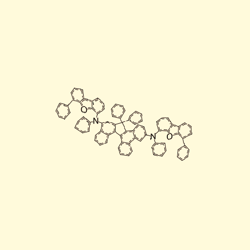 c1ccc(-c2cccc3c2oc2c(N(c4ccccc4)c4ccc5c6c(c7ccccc7c5c4)-c4c(cc(N(c5ccccc5)c5cccc7c5oc5c(-c8ccccc8)cccc57)c5ccccc45)C6(c4ccccc4)c4ccccc4)cccc23)cc1